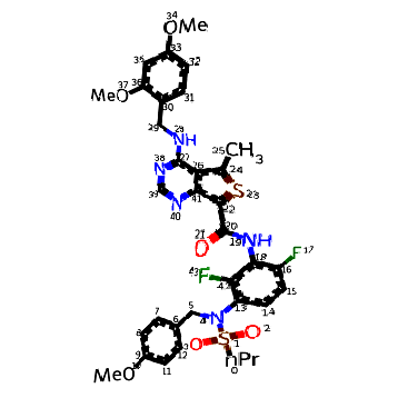 CCCS(=O)(=O)N(Cc1ccc(OC)cc1)c1ccc(F)c(NC(=O)c2sc(C)c3c(NCc4ccc(OC)cc4OC)ncnc23)c1F